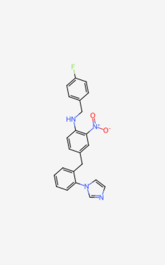 O=[N+]([O-])c1cc(Cc2ccccc2-n2ccnc2)ccc1NCc1ccc(F)cc1